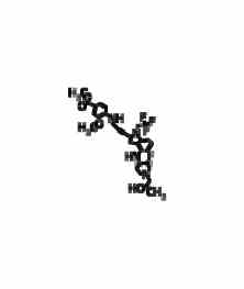 COC(=O)c1ccc(NCC#Cc2cc3c(N[C@H]4CCN(C[C@H](C)O)C[C@H]4F)cccc3n2CC(F)(F)F)c(OC)c1